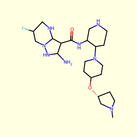 CN1CC[C@@H](OC2CCN(C3CCNCC3NC(=O)C3C(N)NN4CC(F)CNC34)CC2)C1